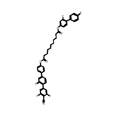 N#Cc1c(F)cc(-c2ccc(-c3ccc(OC(=O)CCCCCCCCCC(=O)Oc4ccc(-c5ccc(F)cc5)c(F)c4)cc3)cc2F)cc1F